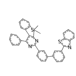 C[Si]1(C)c2ccccc2-c2c(-c3ccccc3)nc(-c3cccc(-c4cccc(-c5nc6ccccc6s5)c4)c3)nc21